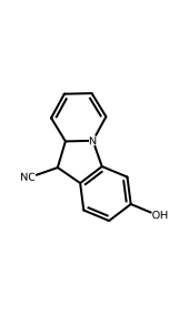 N#CC1c2ccc(O)cc2N2C=CC=CC12